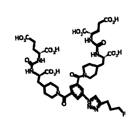 O=C(O)CC[C@H](NC(=O)N[C@@H](CC1CCN(C(=O)c2cc(C(=O)N3CCC(C[C@@H](NC(=O)N[C@H](CCC(=O)O)C(=O)O)C(=O)O)CC3)cc(-n3cc(CCCF)nn3)c2)CC1)C(=O)O)C(=O)O